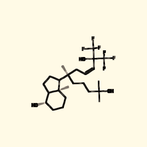 CC(C)(O)CCC[C@](C)(C/C=C\C(O)(C(F)(F)F)C(F)(F)F)C1CCC2[C@@H](O)CCC[C@@]21C